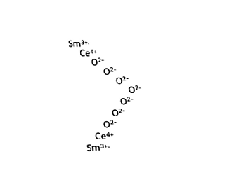 [Ce+4].[Ce+4].[O-2].[O-2].[O-2].[O-2].[O-2].[O-2].[O-2].[Sm+3].[Sm+3]